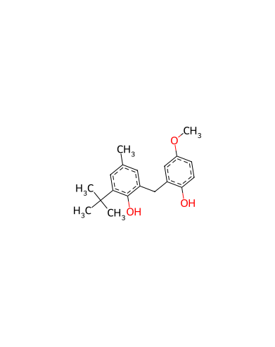 COc1ccc(O)c(Cc2cc(C)cc(C(C)(C)C)c2O)c1